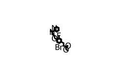 COC(=O)C(Br)Cc1ccc(OCCN(C)c2ccccn2)c(F)c1